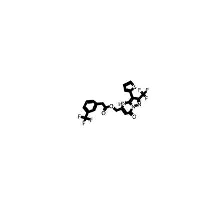 O=C(Cc1cccc(C(F)(F)F)c1)OCc1cc(=O)n2nc(C(F)(F)F)c(-c3cccs3)c2[nH]1